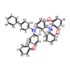 c1ccc(-c2ccc(N(c3ccc4oc5ccccc5c4c3)c3ccc4c5c3c3cccc6c3n5-c3c(cccc3O4)O6)cc2)cc1